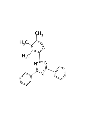 Cc1ccc(-c2nc(-c3ccccc3)nc(-c3ccccc3)n2)c(C)c1C